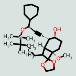 CCC1[C@H]2[C@H](C#C[C@@H](O[Si](C)(C)C(C)(C)C)C3CCCCC3)[C@@H](O)CC[C@@]2(OC)C12OCCO2